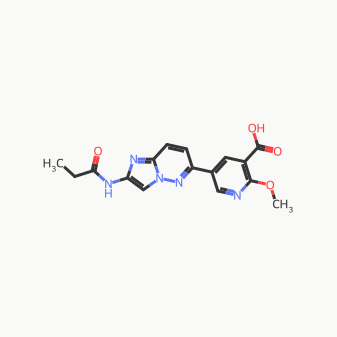 CCC(=O)Nc1cn2nc(-c3cnc(OC)c(C(=O)O)c3)ccc2n1